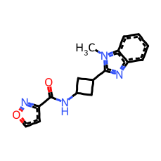 Cn1c(C2CC(NC(=O)c3ccon3)C2)nc2ccccc21